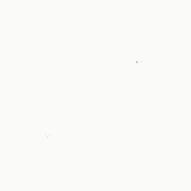 C=C(Cc1ccc(O)c(CCC(C)CCCC)c1)C(=O)OC